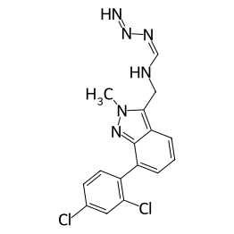 Cn1nc2c(-c3ccc(Cl)cc3Cl)cccc2c1CN/C=N\N=N